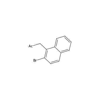 CC(=O)Cc1c(Br)ccc2ccccc12